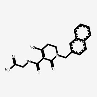 O=C(O)CNC(=O)C1=C(O)CCN(Cc2ccc3ccccc3c2)C1=O